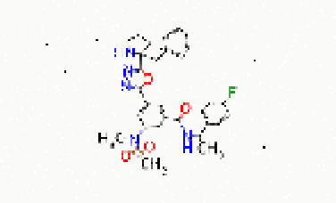 C[C@@H](NC(=O)c1cc(-c2nnc(C3(Cc4ccccc4)CCCN3)o2)cc(N(C)S(C)(=O)=O)c1)c1ccc(F)cc1